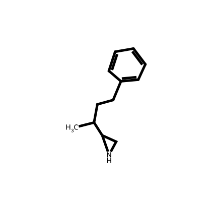 CC(CCc1ccccc1)C1CN1